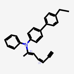 C#C/C=C\C=C(/C)N(c1ccccc1)c1ccc(-c2ccc(CC)cc2)cc1